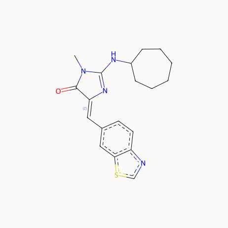 CN1C(=O)/C(=C/c2ccc3ncsc3c2)N=C1NC1CCCCCC1